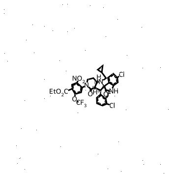 CCOC(=O)c1cc([N+](=O)[O-])c(N2CC[C@H]3[C@@H](C2=O)[C@H](c2cccc(Cl)c2F)[C@]2(C(=O)Nc4cc(Cl)ccc42)N3CC2CC2)cc1OC(F)(F)F